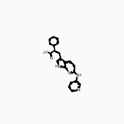 O=C(O)C(=Cc1c[nH]c2nc(Nc3cccnc3)ccc12)c1ccccc1